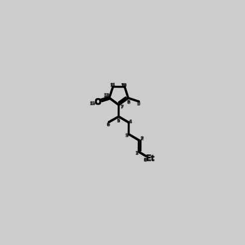 CCC=CCCC(C)C1=C(C)CCC1=O